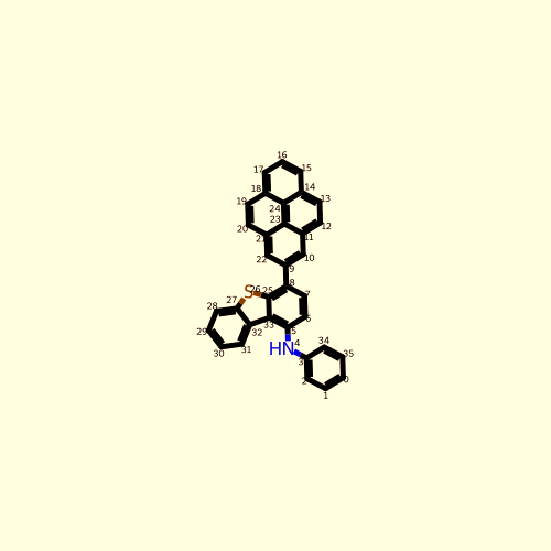 c1ccc(Nc2ccc(-c3cc4ccc5cccc6ccc(c3)c4c56)c3sc4ccccc4c23)cc1